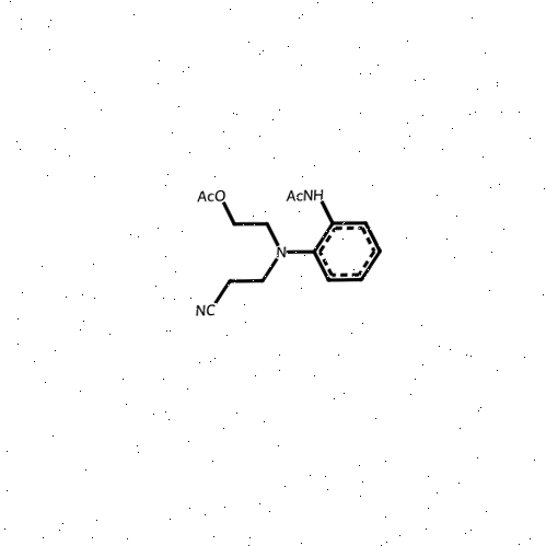 CC(=O)Nc1ccccc1N(CCC#N)CCOC(C)=O